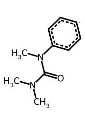 CN(C)C(=O)N(C)c1cc[c]cc1